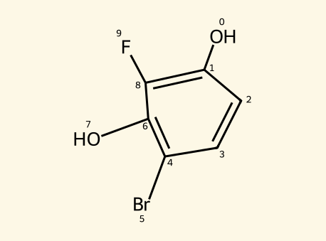 Oc1ccc(Br)c(O)c1F